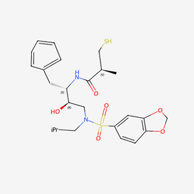 CC(C)CN(C[C@@H](O)[C@H](Cc1ccccc1)NC(=O)[C@H](C)CS)S(=O)(=O)c1ccc2c(c1)OCO2